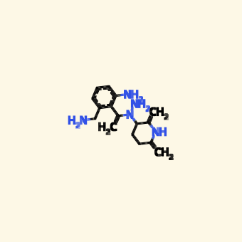 C=C1CCC(N(N)C(=C)c2c(N)cccc2CN)C(=C)N1